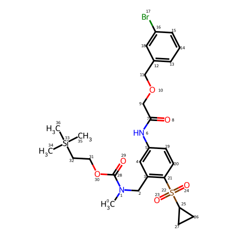 CN(Cc1cc(NC(=O)COCc2cccc(Br)c2)ccc1S(=O)(=O)C1CC1)C(=O)OCC[Si](C)(C)C